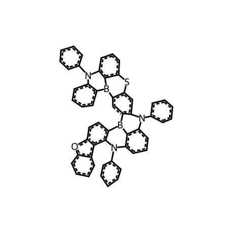 c1ccc(N2c3ccccc3B3c4cc5c(cc4Sc4cccc2c43)N(c2ccccc2)c2cccc3c2B5c2ccc4oc5ccccc5c4c2N3c2ccccc2)cc1